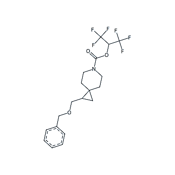 O=C(OC(C(F)(F)F)C(F)(F)F)N1CCC2(CC1)CC2COCc1ccccc1